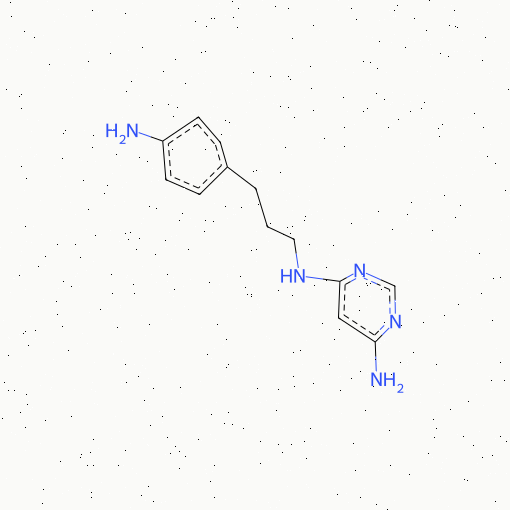 Nc1ccc(CCCNc2cc(N)ncn2)cc1